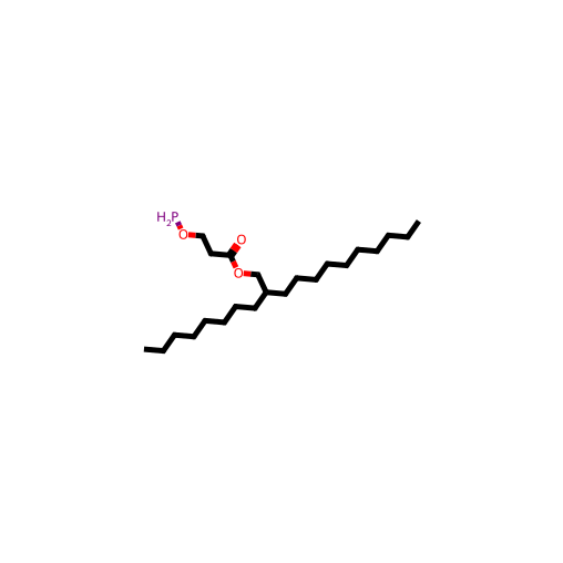 CCCCCCCCCCC(CCCCCCCC)COC(=O)CCOP